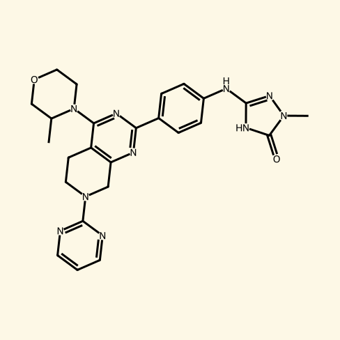 CC1COCCN1c1nc(-c2ccc(Nc3nn(C)c(=O)[nH]3)cc2)nc2c1CCN(c1ncccn1)C2